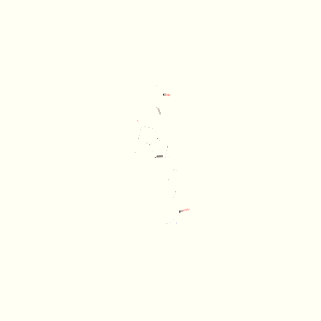 CCCCCCC(=O)/C=C/[C@@H]1[C@H]2CC(CCCCC(=O)N(C)C)=C[C@H]2C[C@H]1O